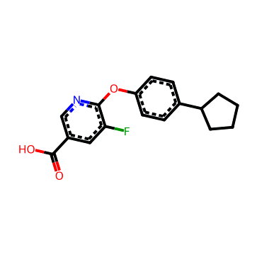 O=C(O)c1cnc(Oc2ccc(C3CCCC3)cc2)c(F)c1